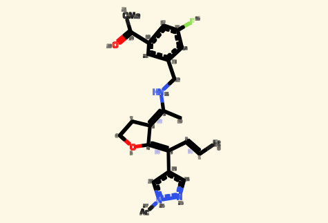 CC/C=C/C(=C1/OCC/C1=C(/C)NCc1cc(F)cc(C(=O)OC)c1)c1cnn(C(C)=O)c1